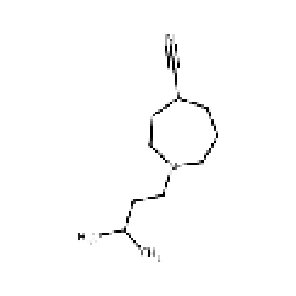 CC(C)CCN1CCCC(C#N)CC1